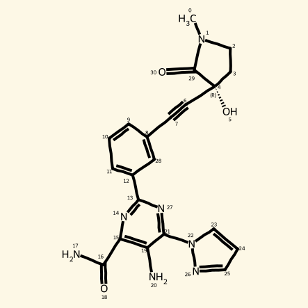 CN1CC[C@@](O)(C#Cc2cccc(-c3nc(C(N)=O)c(N)c(-n4cccn4)n3)c2)C1=O